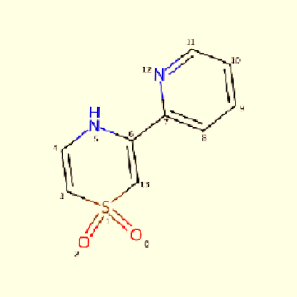 O=S1(=O)C=CNC(c2ccccn2)=C1